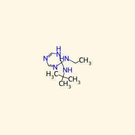 CCNC1(NC(C)(C)C)N=CN=CN1